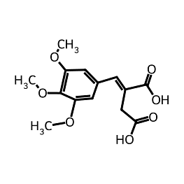 COc1cc(/C=C(\CC(=O)O)C(=O)O)cc(OC)c1OC